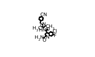 Cc1nn(Cc2ccc(C#N)cc2)c(C)c1NC(=O)c1cc(C(N)=O)nc2cc(F)c(Cl)cc12